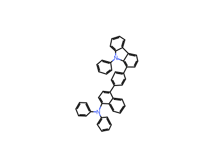 c1ccc(N(c2ccccc2)c2ccc(-c3ccc(-c4cccc5c6ccccc6n(-c6ccccc6)c45)cc3)c3ccccc23)cc1